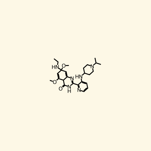 CCNC1(OC)C=C2N=C(c3ncccc3NC3CCN(C(C)C)CC3)NC(=O)C2C(OC)=C1